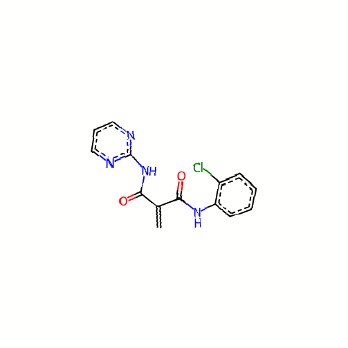 C=C(C(=O)Nc1ncccn1)C(=O)Nc1ccccc1Cl